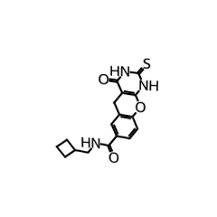 O=C(NCC1CCC1)c1ccc2c(c1)Cc1c([nH]c(=S)[nH]c1=O)O2